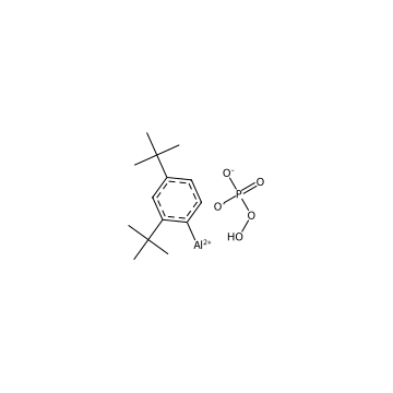 CC(C)(C)c1cc[c]([Al+2])c(C(C)(C)C)c1.O=P([O-])([O-])OO